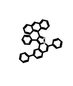 c1ccc(-c2ccc3cc(-c4ccccc4)n4nc(-c5c6ccccc6cc6ccccc56)c(-c5ccccc5)c4c3c2)cc1